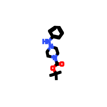 CC(C)(C)OC(=O)N1CCN(Nc2ccccc2)CC1